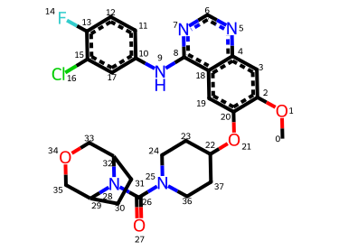 COc1cc2ncnc(Nc3ccc(F)c(Cl)c3)c2cc1OC1CCN(C(=O)N2C3CCC2COC3)CC1